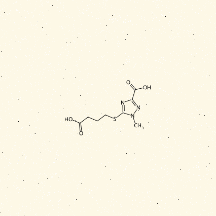 Cn1nc(C(=O)O)nc1SCCCC(=O)O